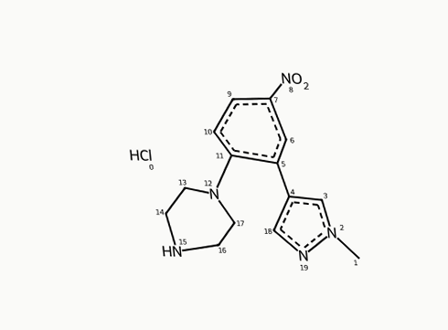 Cl.Cn1cc(-c2cc([N+](=O)[O-])ccc2N2CCNCC2)cn1